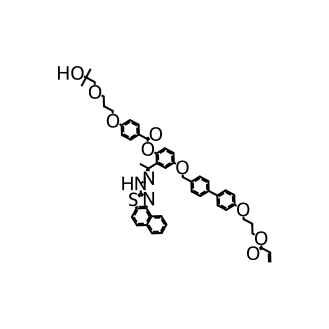 C=CC(=O)OCCCOc1ccc(-c2ccc(COc3ccc(OC(=O)c4ccc(OCCCOCC(C)(C)O)cc4)c(/C(C)=N/Nc4nc5c(ccc6ccccc65)s4)c3)cc2)cc1